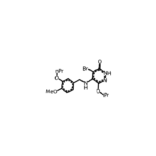 CCCOc1cc(CNc2c(OC(C)C)n[nH]c(=O)c2Br)ccc1OC